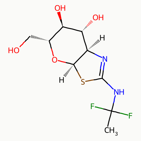 CC(F)(F)NC1=N[C@@H]2[C@@H](O)[C@H](O)[C@@H](CO)O[C@@H]2S1